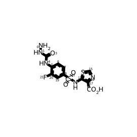 NNC(=O)Nc1ccc(S(=O)(=O)Nc2scnc2C(=O)O)cc1F